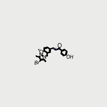 COc1ccc(/C=C/C(=O)c2ccc(O)cc2)cc1Cn1nc(C)c(Br)c1C